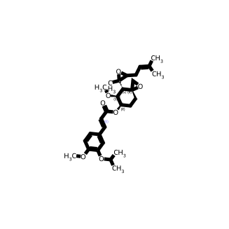 COc1ccc(/C=C/C(=O)O[C@@H]2CC[C@]3(CO3)[C@@H](C3(C)OC3CC=C(C)C)[C@@H]2OC)cc1OC(C)C